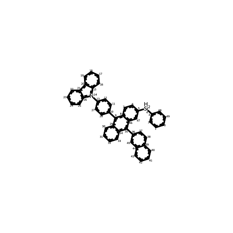 c1ccc([SiH2]c2ccc3c(-c4ccc(-n5c6ccccc6c6ccccc65)cc4)c4ccccc4c(-c4ccc5ccccc5c4)c3c2)cc1